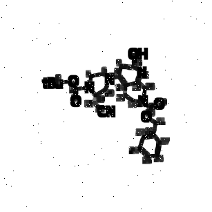 CC(C)(C)OC(=O)N1CCN(c2cc(O)nc3c2CCN(C(=O)OCc2ccccc2)C3)C[C@@H]1CC#N